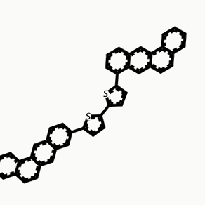 c1cc(-c2ccc(-c3ccc(-c4ccc5cc6c(ccc7ccccc76)cc5c4)s3)s2)c2cc3ccc4ccccc4c3cc2c1